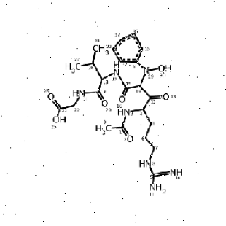 CC(=O)NC(CCCNC(=N)N)C(=O)C(C(=O)NC(C(=O)NCC(=O)O)C(C)C)N(O)c1ccccc1